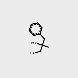 CC(Cc1ccccc1)(CC(F)(F)F)C(=O)O